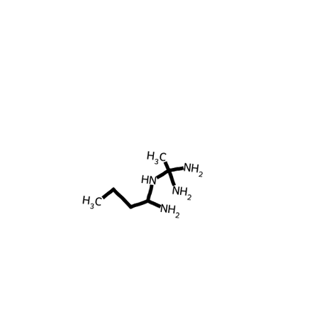 CCCC(N)NC(C)(N)N